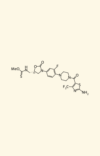 COC(=S)NC[C@H]1CN(c2ccc(N3CCN(C(=O)c4sc(N)nc4C(F)(F)F)CC3)c(F)c2)C(=O)O1